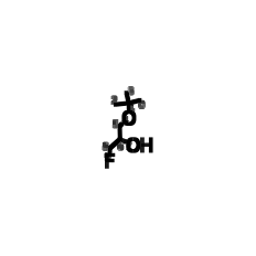 CC(C)(C)OC[C@@H](O)CF